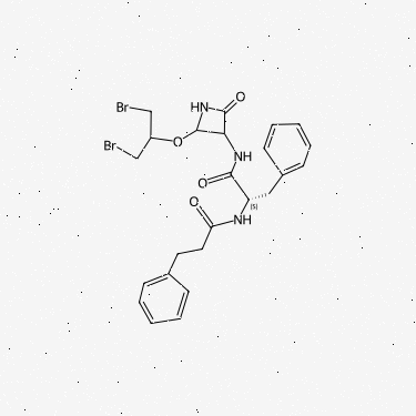 O=C(CCc1ccccc1)N[C@@H](Cc1ccccc1)C(=O)NC1C(=O)NC1OC(CBr)CBr